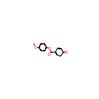 COc1ccc(OC(=O)C2=CCC(=O)C=C2)cc1